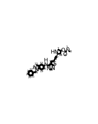 CN(C)C(=O)O[C@H]1CN[C@H](C#Cc2cc3c(Nc4ccc5c(cnn5Cc5ccccc5)c4)ncnc3s2)C1